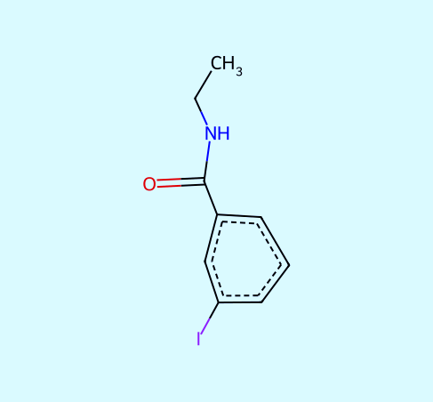 CCNC(=O)c1cccc(I)c1